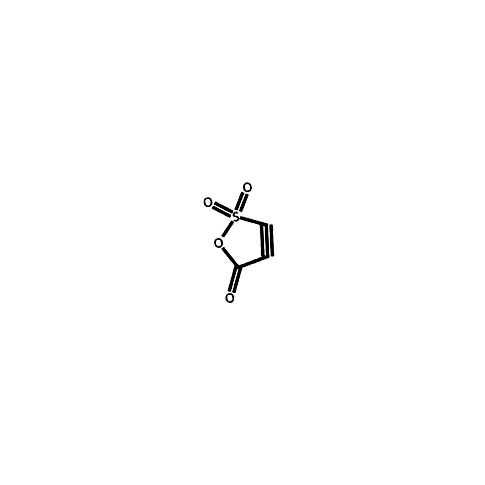 O=C1C#CS(=O)(=O)O1